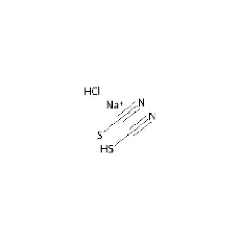 Cl.N#CS.N#C[S-].[Na+]